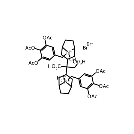 CC(=O)Oc1cc(C[N+]2(C)C3CCC2CC(C(CC(=O)O)(C(=O)O)C2CC4CCC(C2)[N+]4(C)Cc2cc(OC(C)=O)c(OC(C)=O)c(OC(C)=O)c2)C3)cc(OC(C)=O)c1OC(C)=O.[Br-].[Br-]